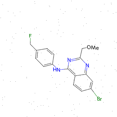 COCc1nc(Nc2ccc(CF)cc2)c2ccc(Br)cc2n1